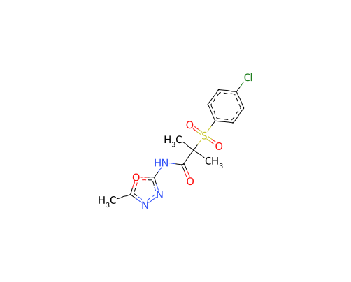 Cc1nnc(NC(=O)C(C)(C)S(=O)(=O)c2ccc(Cl)cc2)o1